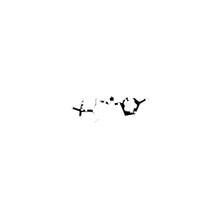 CC[C@H](C)[C@H](NS(=O)(=O)c1ccc(Cl)s1)C(O)(CC)CC